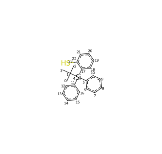 CC(C)(C)[Si](c1ccccc1)(c1ccccc1)c1ccccc1S